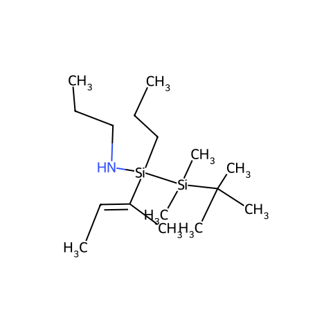 C/C=C(\C)[Si](CCC)(NCCC)[Si](C)(C)C(C)(C)C